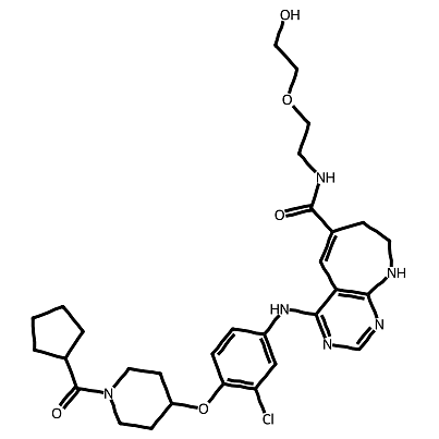 O=C(NCCOCCO)C1=Cc2c(ncnc2Nc2ccc(OC3CCN(C(=O)C4CCCC4)CC3)c(Cl)c2)NCC1